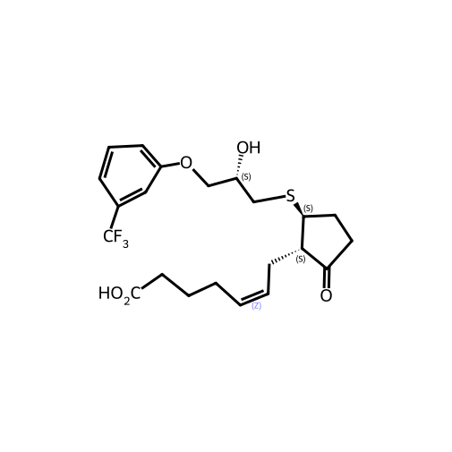 O=C(O)CCC/C=C\C[C@H]1C(=O)CC[C@@H]1SC[C@@H](O)COc1cccc(C(F)(F)F)c1